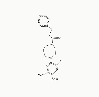 COc1cc(N2CCCN(C(=O)OCc3ccccc3)CC2)c(F)cc1C(=O)O